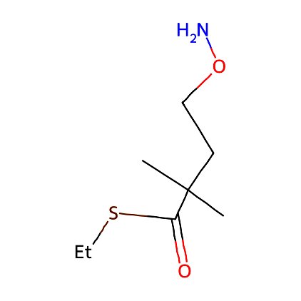 CCSC(=O)C(C)(C)CCON